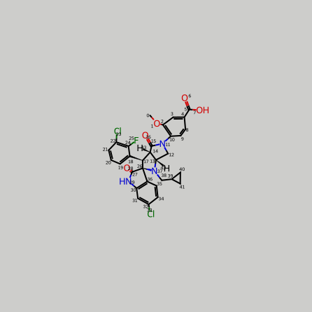 COc1cc(C(=O)O)ccc1N1C[C@H]2[C@@H](C1=O)[C@H](c1cccc(Cl)c1F)[C@]1(C(=O)Nc3cc(Cl)ccc31)N2CC1CC1